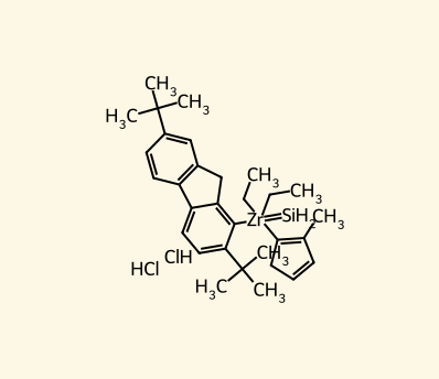 C[CH2][Zr](=[SiH2])([CH2]C)([C]1=C(C)C=CC1)[c]1c(C(C)(C)C)ccc2c1Cc1cc(C(C)(C)C)ccc1-2.Cl.Cl